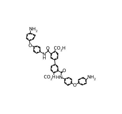 Nc1ccc(Oc2ccc(NC(=O)c3cc(-c4ccc(C(=O)O)c(C(=O)Nc5ccc(Oc6ccc(N)cc6)cc5)c4)ccc3C(=O)O)cc2)cc1